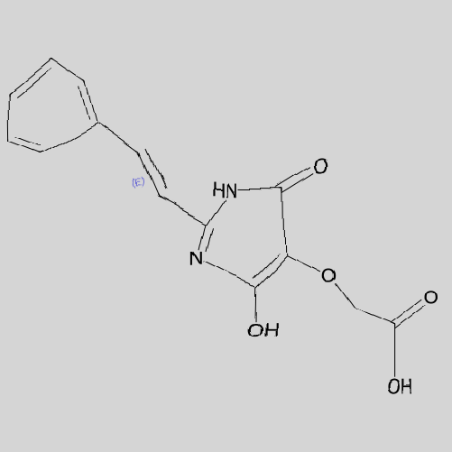 O=C(O)COc1c(O)nc(/C=C/c2ccccc2)[nH]c1=O